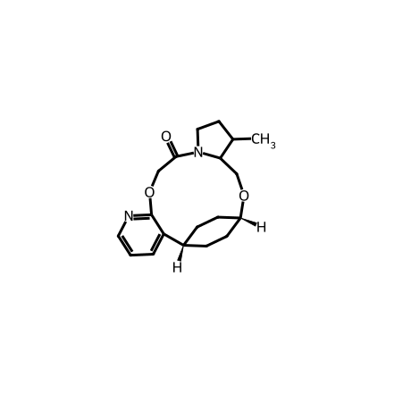 CC1CCN2C(=O)COc3ncccc3[C@H]3CC[C@H](CC3)OCC12